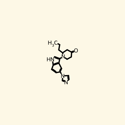 CCCC1CC(=O)CCN1c1c[nH]c2ccc(-n3ccnc3)cc12